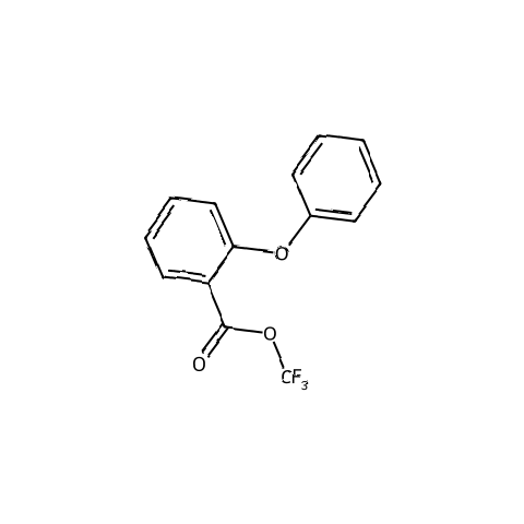 O=C(OC(F)(F)F)c1ccccc1Oc1ccccc1